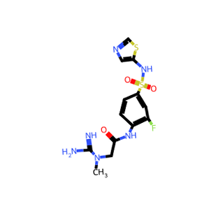 CN(CC(=O)Nc1ccc(S(=O)(=O)Nc2cncs2)cc1F)C(=N)N